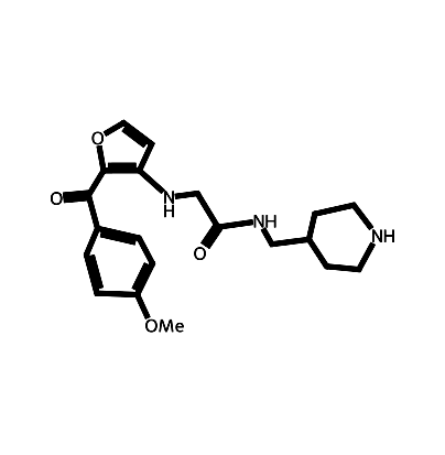 COc1ccc(C(=O)c2occc2NCC(=O)NCC2CCNCC2)cc1